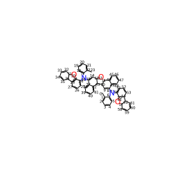 Cc1ccccc1N(C1=CC2C(OC3C=C(N(c4ccccc4C)c4cccc5c4OC4C=CC=CC54)c4ccccc4C32)c2ccccc21)C1=CC=CC2C1OC1C=CC=CC12